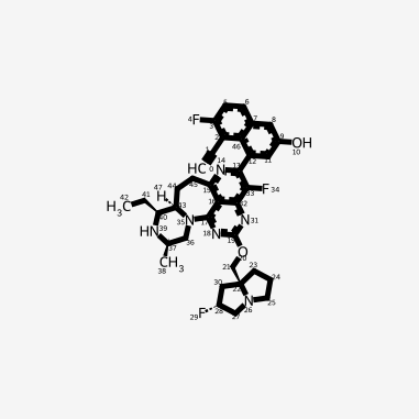 C#Cc1c(F)ccc2cc(O)cc(-c3nc4c5c(nc(OC[C@@]67CCCN6C[C@H](F)C7)nc5c3F)N3C[C@@H](C)N[C@@H](CC)[C@H]3CC4)c12